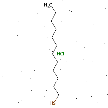 CCCCCCCCCCCCS.Cl